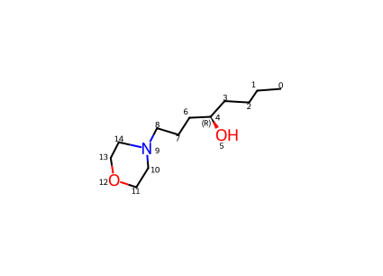 CCCC[C@@H](O)CCCN1CCOCC1